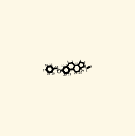 C=C[C@H]1CCC2C3CCc4cc(OCc5ccccc5)ccc4C3CC[C@@]21C